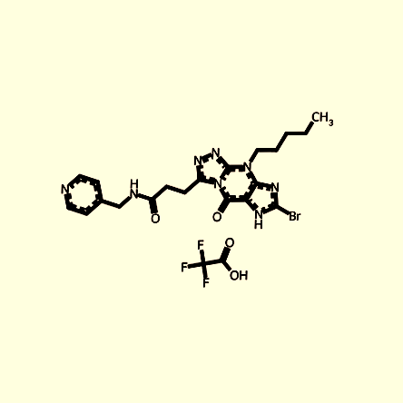 CCCCCn1c2nc(Br)[nH]c2c(=O)n2c(CCC(=O)NCc3ccncc3)nnc12.O=C(O)C(F)(F)F